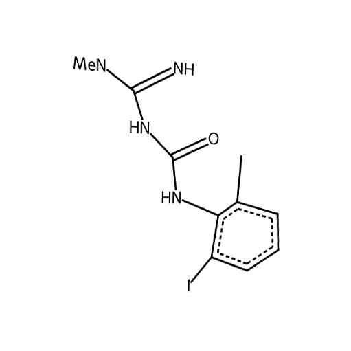 CNC(=N)NC(=O)Nc1c(C)cccc1I